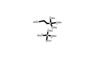 CCCCCCCCCCCC[Si](OC)(OC)OC.CCCCCCCC[Si](OC)(OC)OC